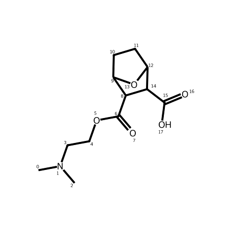 CN(C)CCOC(=O)C1C2CCC(O2)C1C(=O)O